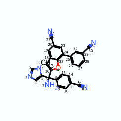 Cn1cncc1C(N)(c1ccc(C#N)cc1)c1cc2cc(C#N)cc(-c3cccc(C#N)c3)c2o1